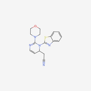 N#CCC1C=CN=C(N2CCOCC2)N1c1nc2ccccc2s1